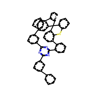 c1ccc(-c2cccc(-c3nc(-c4cccc(-c5ccccc5)c4)nc(-c4ccccc4-c4cccc5c4Sc4ccccc4C54c5ccccc5-c5ccccc54)n3)c2)cc1